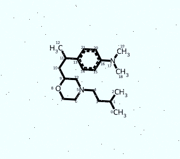 CC(C)CCN1CCOC(CC(C)c2ccc(N(C)C)cc2)C1